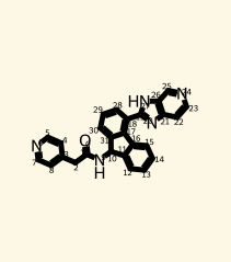 O=C(Cc1ccncc1)NC1c2ccccc2-c2c(-c3nc4ccncc4[nH]3)cccc21